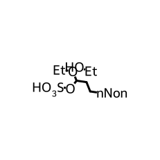 CCCCCCCCCCCC(OCC)OS(=O)(=O)O.CCO